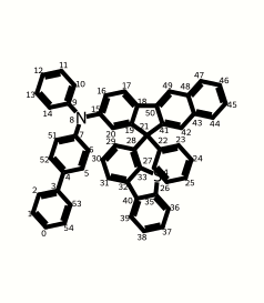 c1ccc(-c2ccc(N(c3ccccc3)c3ccc4c(c3)C(c3ccccc3)(c3cccc5c3sc3ccccc35)c3cc5ccccc5cc3-4)cc2)cc1